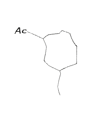 CC(=O)C1CCCC(C)C1